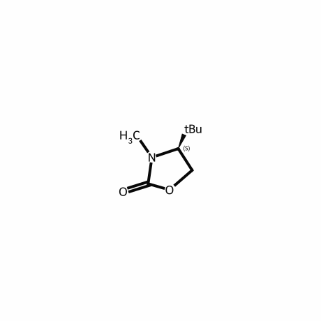 CN1C(=O)OC[C@@H]1C(C)(C)C